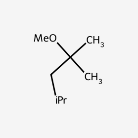 [CH2]C(C)CC(C)(C)OC